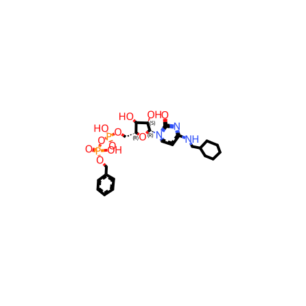 O=c1nc(NCC2CCCCC2)ccn1[C@@H]1O[C@H](COP(=O)(O)OP(=O)(O)OCc2ccccc2)C(O)[C@@H]1O